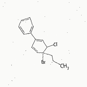 CCCC1(Br)C=CC(c2ccccc2)=CC1Cl